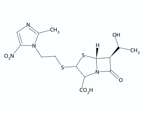 Cc1ncc([N+](=O)[O-])n1CCSC1S[C@@H]2[C@@H](C(C)O)C(=O)N2C1C(=O)O